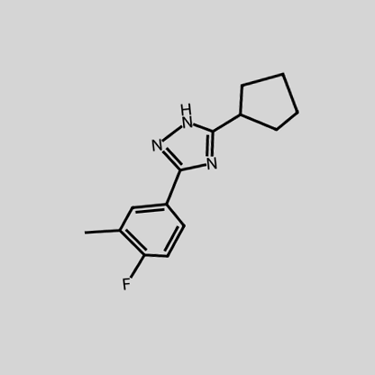 Cc1cc(-c2n[nH]c(C3CCCC3)n2)ccc1F